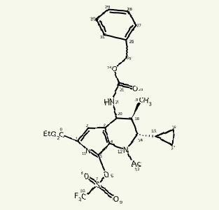 CCOC(=O)c1cc2c(c(OS(=O)(=O)C(F)(F)F)n1)N(C(C)=O)[C@@H](C1CC1)[C@H](C)C2NC(=O)OCc1ccccc1